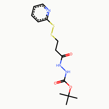 CC(C)(C)OC(=O)NNC(=O)CCSSc1ccccn1